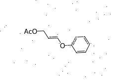 CC(=O)OCC=COc1ccccc1